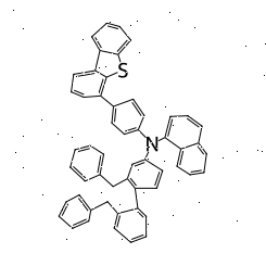 c1ccc(Cc2ccccc2-c2ccc(N(c3ccc(-c4cccc5c4sc4ccccc45)cc3)c3cccc4ccccc34)cc2Cc2ccccc2)cc1